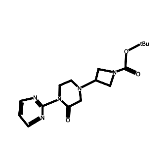 CC(C)(C)OC(=O)N1CC(N2CCN(c3ncccn3)C(=O)C2)C1